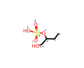 CCC(CO)OS(=O)(=O)O